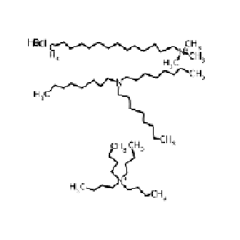 Br.CCCCCCCCCCCCCC[N+](C)(C)C.CCCCCCCCN(CCCCCCCC)CCCCCCCC.CCCC[N+](CCCC)(CCCC)CCCC.Cl